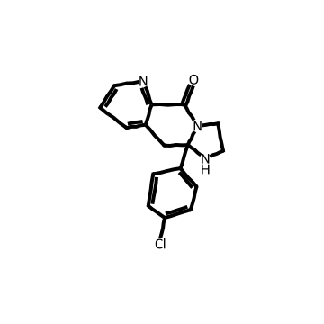 O=C1c2ncccc2CC2(c3ccc(Cl)cc3)NCCN12